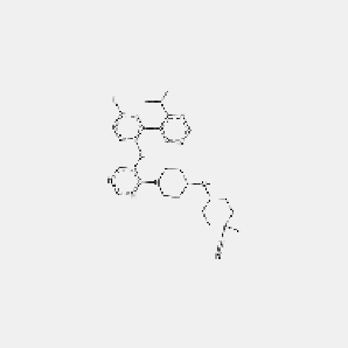 CC(C)c1ncncc1-c1cc(F)ccc1Oc1cncnc1N1CCC(NC2CCC(C)(C#N)CC2)CC1